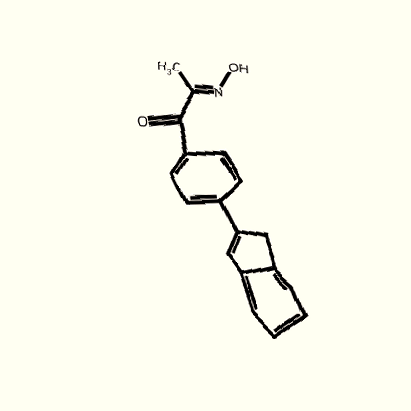 CC(=NO)C(=O)c1ccc(C2=Cc3ccccc3C2)cc1